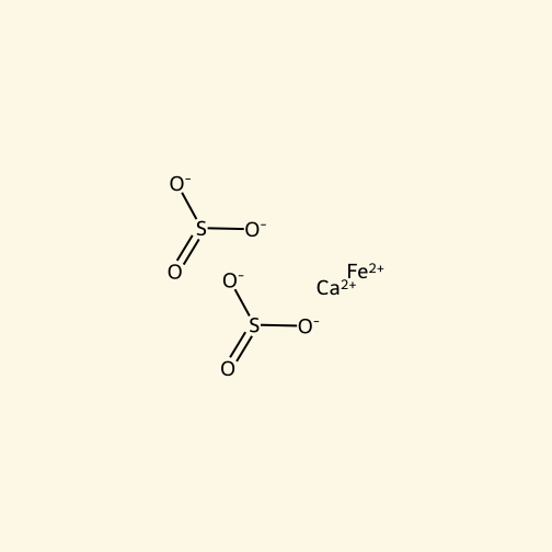 O=S([O-])[O-].O=S([O-])[O-].[Ca+2].[Fe+2]